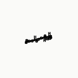 CC(=O)N[C@@H](CCC(=O)NCCOCCOCC(=O)NCCOCCOCC(=O)C(C)(C)C)C(=O)O